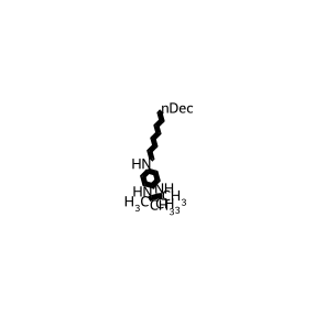 CCCCCCCCCCCCCCCCCCNC1CCC2(CC1)NC(C)(C)C(C)(C)N2